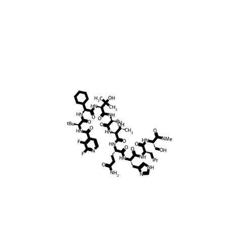 CC[C@H](C)[C@H](NC(=O)[C@@H](NC(=O)[C@@H](NC(=O)[C@@H](NC(=O)c1ccnc(F)c1F)C(C)(C)C)C1CCCCC1)C(C)(C)O)C(=O)N[C@H](C(=O)N[C@@H](CCC(N)=O)C(=O)N[C@@H](Cc1c[nH]cn1)C(=O)N[C@H](CC(C)C)C(=O)N[C@@H](CO)C(=O)NC)[C@@H](C)O